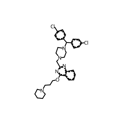 Clc1ccc(C(c2ccc(Cl)cc2)N2CCN(Cc3nc(OCCCN4CCCCC4)c4ccccc4n3)CC2)cc1